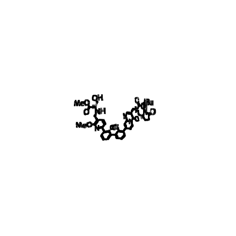 COC(=O)[C@H](CO)NCc1ccc(-c2cccc(-c3cccc(-c4ccn5c(=O)c(CN(C[C@@H]6CCC(=O)N6)C(=O)OC(C)(C)C)cnc5c4)c3Cl)c2Cl)nc1OC